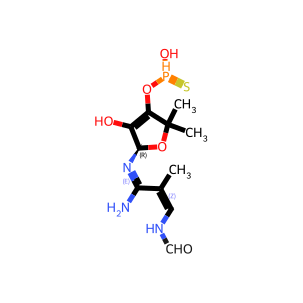 CC(=C/NC=O)/C(N)=N\[C@@H]1OC(C)(C)C(O[PH](O)=S)=C1O